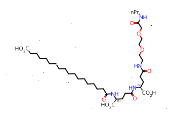 CCCNC(=O)COCCOCCNC(=O)CC[C@H](NC(=O)CC[C@H](NC(=O)CCCCCCCCCCCCCCCCC(=O)O)C(=O)O)C(=O)O